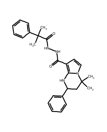 CC(C)(C(=O)NNC(=O)c1ccn2c1NC(c1ccccc1)CC2(C)C)c1ccccc1